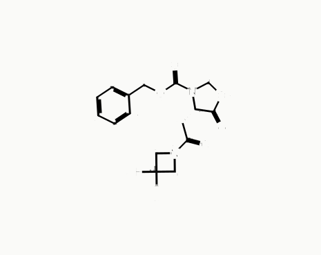 O=C1OCN(C(=O)OCc2ccccc2)[C@H]1CC(=O)N1CC(F)(F)C1